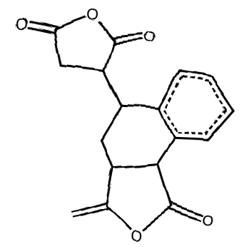 C=C1OC(=O)C2c3ccccc3C(C3CC(=O)OC3=O)CC12